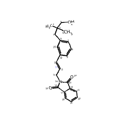 CC(C)(CO)Cc1cccc(/C=C/CN2C(=O)c3ccccc3C2=O)c1